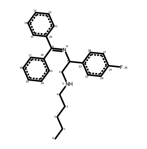 CCCCCNCC(N=C(c1ccccc1)c1ccccc1)c1ccc(F)cc1